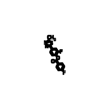 Cc1nnc(-c2ccc(OC(=O)c3ccc(F)cc3)c(F)c2)s1